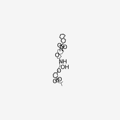 CC(C)CS(=O)(=O)c1cccc(OC[C@@H](O)CNC2COC3(CCN(S(=O)(=O)c4ccc5ccccc5c4)CC3)C2)c1